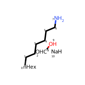 CCCCCCCCCCCCN.O=CO.[NaH]